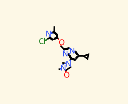 Cc1cc(OCc2cn3cc(C4CC4)cc(N4CC(=O)N(C)C4)c3n2)cc(Cl)n1